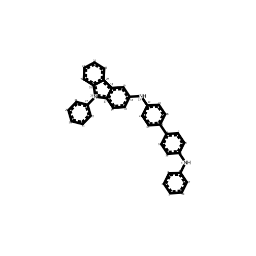 c1ccc(Nc2ccc(-c3ccc(Nc4ccc5c(c4)c4ccccc4n5-c4ccccc4)cc3)cc2)cc1